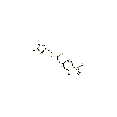 C=C/C=C(\C=C/C[N+](=O)[O-])OC(=O)OCc1csc(C)n1